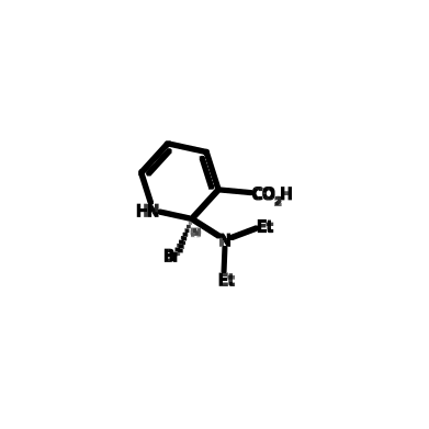 CCN(CC)[C@@]1(Br)NC=CC=C1C(=O)O